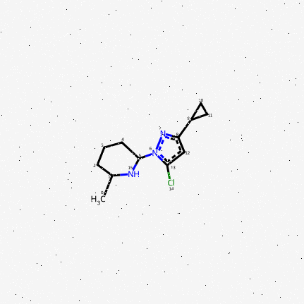 CC1CCCC(n2nc(C3CC3)cc2Cl)N1